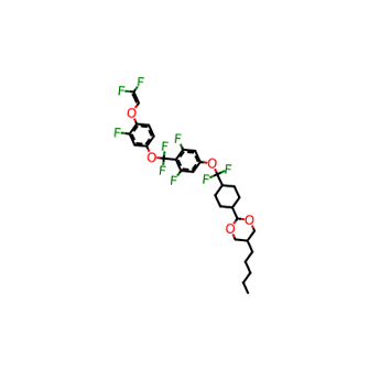 CCCCCC1COC(C2CCC(C(F)(F)Oc3cc(F)c(C(F)(F)Oc4ccc(OC=C(F)F)c(F)c4)c(F)c3)CC2)OC1